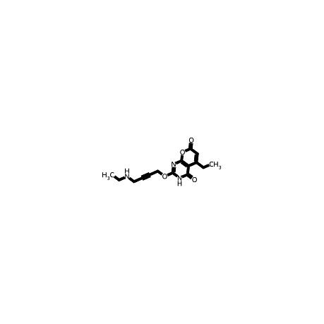 CCNCC#CCOc1nc2oc(=O)cc(CC)c2c(=O)[nH]1